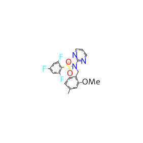 COc1cc(C)ccc1CN(c1ncccn1)S(=O)(=O)c1c(F)cc(F)cc1F